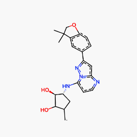 [CH2]C1C[C@@H](Nc2ccnc3cc(-c4ccc5c(c4)C(C)(C)CO5)nn23)[C@H](O)C1O